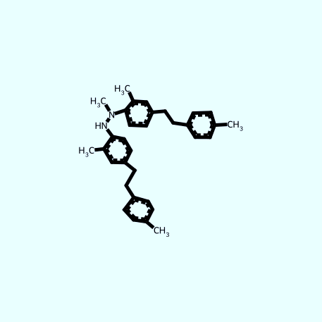 Cc1ccc(CCc2ccc(NN(C)c3ccc(CCc4ccc(C)cc4)cc3C)c(C)c2)cc1